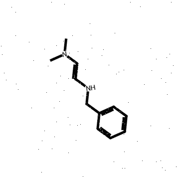 CN(C)C=CNCc1ccccc1